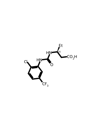 CC[C@@H](CC(=O)O)NC(=O)Nc1cc(C(F)(F)F)ccc1Cl